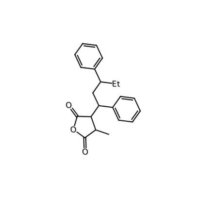 CCC(CC(c1ccccc1)C1C(=O)OC(=O)C1C)c1ccccc1